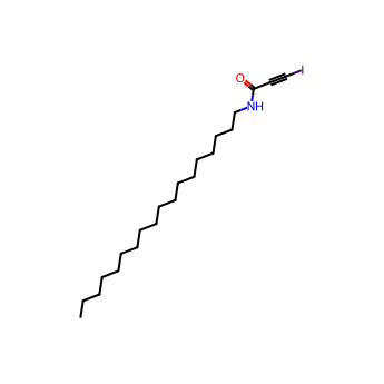 CCCCCCCCCCCCCCCCCCNC(=O)C#CI